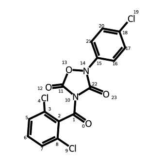 O=C(c1c(Cl)cccc1Cl)n1c(=O)on(-c2ccc(Cl)cc2)c1=O